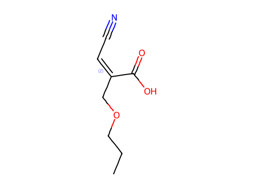 CCCOC/C(=C/C#N)C(=O)O